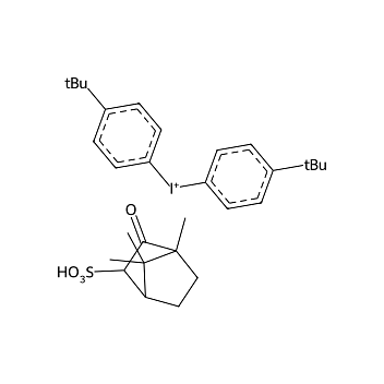 CC(C)(C)c1ccc([I+]c2ccc(C(C)(C)C)cc2)cc1.CC12CCC(C(S(=O)(=O)O)C1=O)C2(C)C